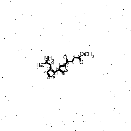 COC(=O)CCC(=O)c1cc(-c2sccc2CC(N)O)cs1